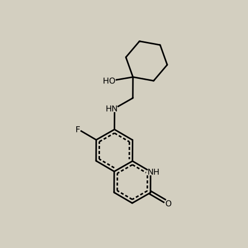 O=c1ccc2cc(F)c(NCC3(O)CCCCC3)cc2[nH]1